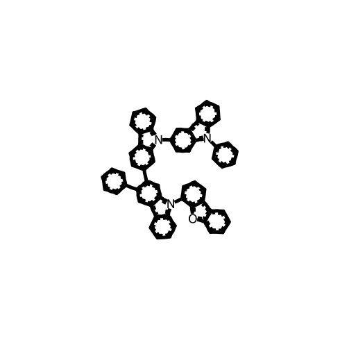 c1ccc(-c2cc3c4ccccc4n(-c4cccc5c4oc4ccccc45)c3cc2-c2ccc3c4ccccc4n(-c4ccc5c(c4)c4ccccc4n5-c4ccccc4)c3c2)cc1